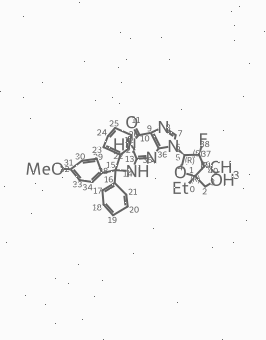 CC[C@@]1(CO)O[C@@H](n2cnc3c(=O)[nH]c(NC(c4ccccc4)(c4ccccc4)c4ccc(OC)cc4)nc32)[C@@H](F)[C@@H]1C